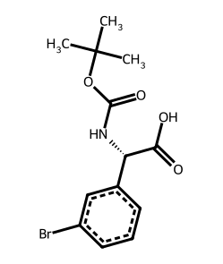 CC(C)(C)OC(=O)N[C@H](C(=O)O)c1cccc(Br)c1